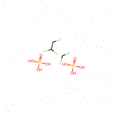 FCC(F)F.FCF.O=P(O)(O)O.O=P(O)(O)O